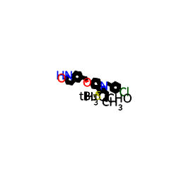 CC(C)(C=O)Cc1c(SC(C)(C)C)c2cc(OCc3ccc4[nH]c(=O)ccc4c3)ccc2n1Cc1ccc(Cl)cc1